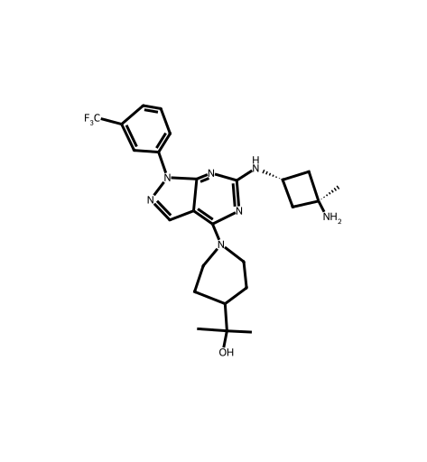 CC(C)(O)C1CCN(c2nc(N[C@H]3C[C@](C)(N)C3)nc3c2cnn3-c2cccc(C(F)(F)F)c2)CC1